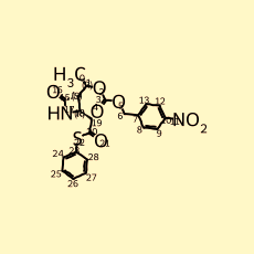 C[C@@H](OC(=O)OCc1ccc([N+](=O)[O-])cc1)[C@H]1C(=O)N[C@@H]1CC(=O)Sc1ccccc1